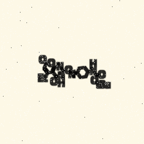 CCc1cc(=O)oc2nc(ON=C3CCC(NC(=O)OC(C)(C)C)CC3)[nH]c(=O)c12